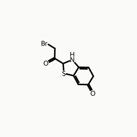 O=C1C=C2SC(C(=O)CBr)NC2=CC1